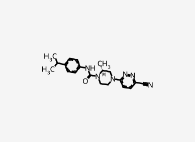 CC(C)c1ccc(NC(=O)N2CCN(c3ccc(C#N)nn3)C[C@H]2C)cc1